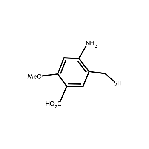 COc1cc(N)c(CS)cc1C(=O)O